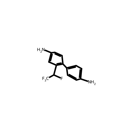 Nc1ccc(-c2ccc(N)cc2C(F)C(F)(F)F)cc1